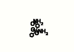 NC(=O)c1cccc(C2=C(N)OC(c3ccccc3)C2=O)c1